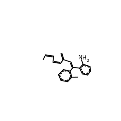 C=C(/C=C\C=C/C)/C=C(\c1ccccc1C)c1ccccc1N